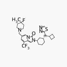 CC1(F)CCN(Cc2cc(C(F)(F)F)c3cn(C4CCCC([C@H](c5nncs5)C5CCC5)C4)c(=O)n3c2)CC1